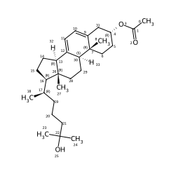 CC(=O)O[C@@H]1CC[C@@]2(C)C(=CC=C3[C@@H]4CC[C@H]([C@H](C)CCCC(C)(C)O)[C@@]4(C)CC[C@@H]32)C1